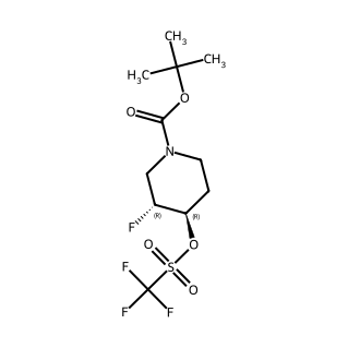 CC(C)(C)OC(=O)N1CC[C@@H](OS(=O)(=O)C(F)(F)F)[C@H](F)C1